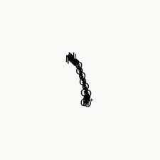 Cc1nnc(-c2ccc(OCCOCCOCCOCCOCCC(=O)Oc3ccc([N+](=O)[O-])cc3)cc2)nn1